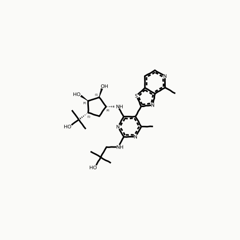 Cc1nc(NCC(C)(C)O)nc(N[C@@H]2C[C@H](C(C)(C)O)[C@@H](O)[C@H]2O)c1-c1nc2c(C)nccc2s1